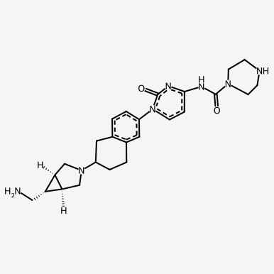 NC[C@@H]1[C@H]2CN(C3CCc4cc(-n5ccc(NC(=O)N6CCNCC6)nc5=O)ccc4C3)C[C@@H]12